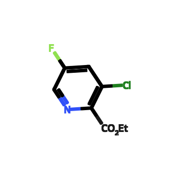 CCOC(=O)c1ncc(F)cc1Cl